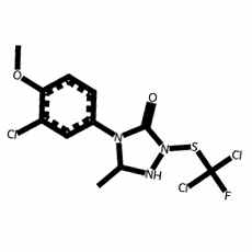 COc1ccc(N2C(=O)N(SC(F)(Cl)Cl)NC2C)cc1Cl